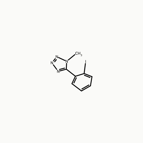 Cn1nnnc1-c1ccccc1I